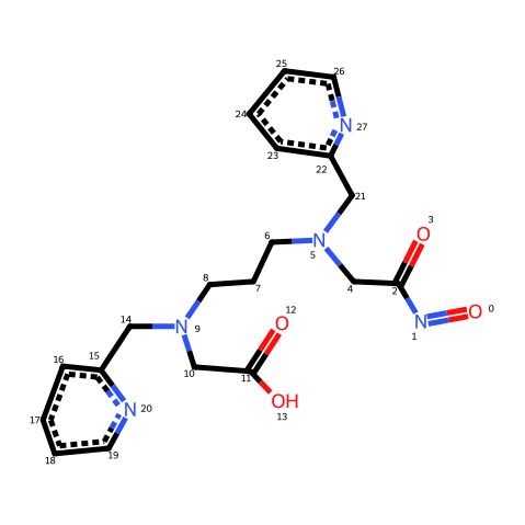 O=NC(=O)CN(CCCN(CC(=O)O)Cc1ccccn1)Cc1ccccn1